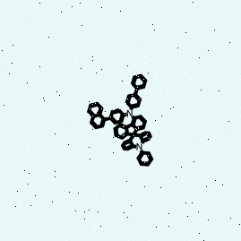 c1ccc(-c2ccc(N(c3ccc(-c4cccc5ccccc45)cc3)c3cccc4c3-c3ccccc3C43c4ccccc4N(c4ccccc4)c4ccccc43)cc2)cc1